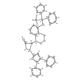 CC(C)(C)[Si](Oc1cccc2c1CCCC2N1C(=O)CC1c1nc(-c2ccccc2)c(-c2ccccc2)o1)(c1ccccc1)c1ccccc1